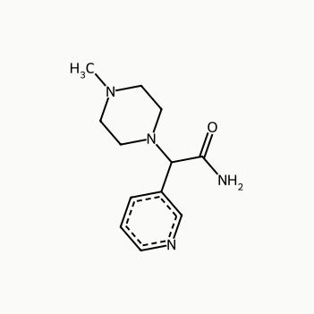 CN1CCN(C(C(N)=O)c2cccnc2)CC1